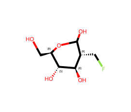 OC[C@H]1OC(O)[C@H](CF)[C@@H](O)[C@@H]1O